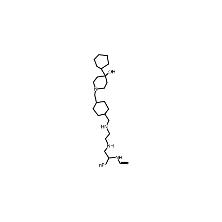 C=CNC(CCC)CNCCNCC1CCC(CN2CCC(O)(C3CCCCC3)CC2)CC1